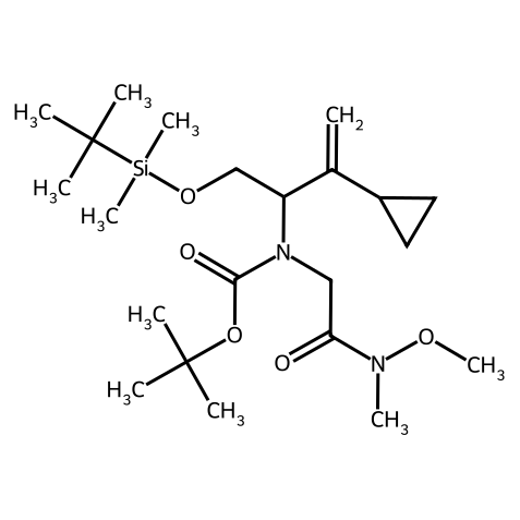 C=C(C1CC1)C(CO[Si](C)(C)C(C)(C)C)N(CC(=O)N(C)OC)C(=O)OC(C)(C)C